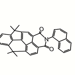 CC1(C)c2cccc3c2-c2c1cc1c4c(ccc(c24)C3(C)C)C(=O)N(c2cccc3ccccc23)C1=O